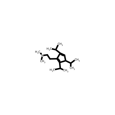 CC(C)[C]1C=C(C(C)C)C(CCN(C)C)=C1C(C)C